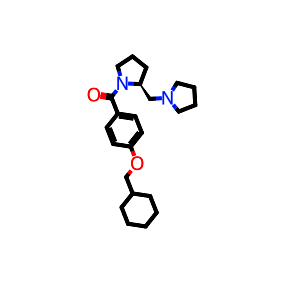 O=C(c1ccc(OCC2CCCCC2)cc1)N1CCC[C@H]1CN1CCCC1